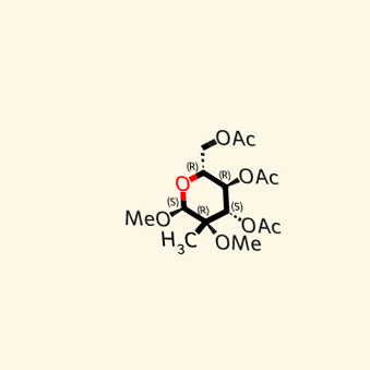 CO[C@H]1O[C@H](COC(C)=O)[C@@H](OC(C)=O)[C@H](OC(C)=O)[C@@]1(C)OC